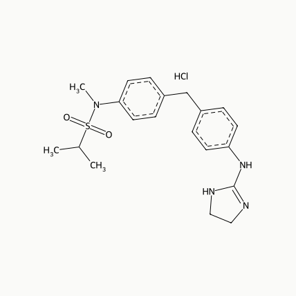 CC(C)S(=O)(=O)N(C)c1ccc(Cc2ccc(NC3=NCCN3)cc2)cc1.Cl